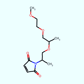 COCCOCC(C)OCC(C)N1C(=O)C=CC1=O